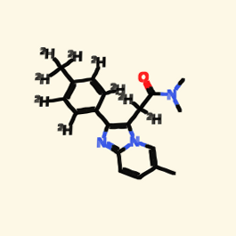 [2H]c1c([2H])c(C([2H])([2H])[2H])c([2H])c([2H])c1-c1nc2ccc(C)cn2c1C([2H])([2H])C(=O)N(C)C